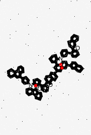 CC1(C)c2ccccc2-c2cccc(N(c3ccc(-c4cc5ccccc5c5ccccc45)cc3)c3cccc(-c4cccc5oc6c7ccc(-c8cccc(-c9ccccc9N(c9cccc(-c%10ccc%11ccccc%11c%10)c9)c9cccc(-c%10cccc%11oc%12c%13ccccc%13ccc%12c%10%11)c9)c8)cc7ccc6c45)c3)c21